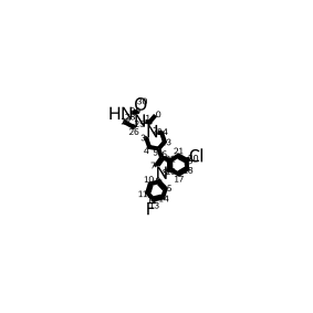 CC(N1CCC(c2cn(-c3ccc(F)cc3)c3ccc(Cl)cc23)CC1)N1CCNC1=O